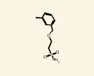 Cc1cccc(COCCS(N)(=O)=O)c1